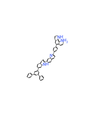 C/C=C\c1c(-c2ccc(-c3ccc4ccc(C5=CC=C6C=CC(c7cc(-c8ccccc8)cc(-c8ccccc8)c7)=CC6N5)cc4n3)cc2)cc2c(c1N)NCC=C2